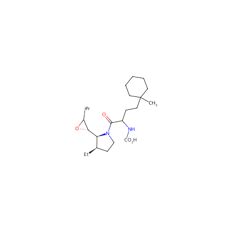 CC[C@@H]1CCN(C(=O)C(CCC2(C)CCCCC2)NC(=O)O)[C@@H]1[C@@H]1OC1C(C)C